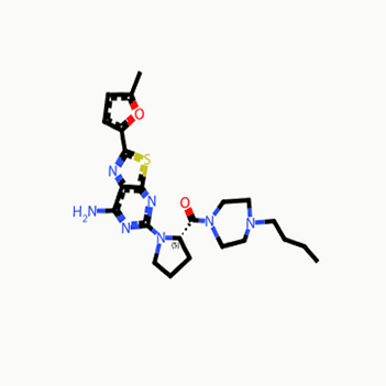 CCCCN1CCN(C(=O)[C@@H]2CCCN2c2nc(N)c3nc(-c4ccc(C)o4)sc3n2)CC1